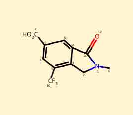 CN1Cc2c(cc(C(=O)O)cc2C(F)(F)F)C1=O